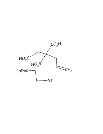 C=CCC(CC(=O)O)(C(=O)O)S(=O)(=O)O.CCCCCCCCCCC[CH2][Na]